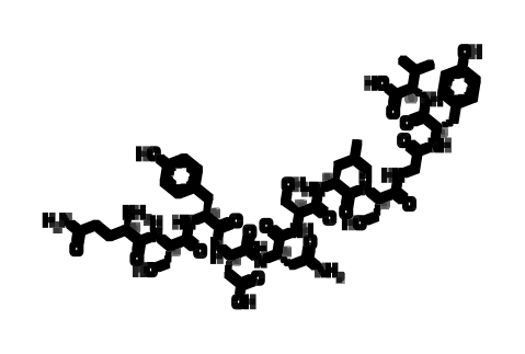 CC(C)C[C@H](NC(=O)[C@H](CO)NC(=O)[C@H](CC(N)=O)NC(=O)[C@H](CC(=O)O)NC(=O)[C@H](Cc1ccc(O)cc1)NC(=O)[C@H](CO)NC(=O)[C@@H](N)CCC(N)=O)C(=O)N[C@@H](CO)C(=O)NCC(=O)N[C@@H](Cc1ccc(O)cc1)C(=O)N[C@H](C(=O)O)C(C)C